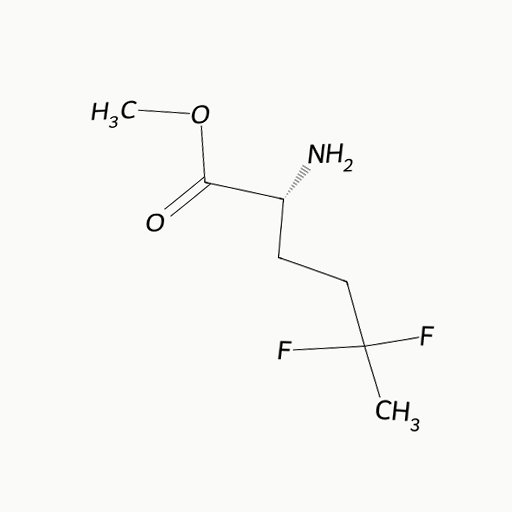 COC(=O)[C@H](N)CCC(C)(F)F